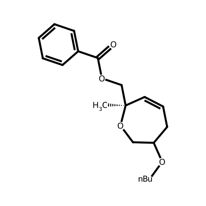 CCCCOC1CC=C[C@](C)(COC(=O)c2ccccc2)OC1